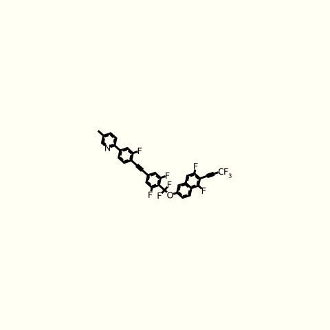 Cc1ccc(-c2ccc(C#Cc3cc(F)c(C(F)(F)Oc4ccc5c(F)c(C#CC(F)(F)F)c(F)cc5c4)c(F)c3)c(F)c2)nc1